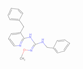 CON=C(NCc1ccccc1)Nc1ncccc1Cc1ccccc1